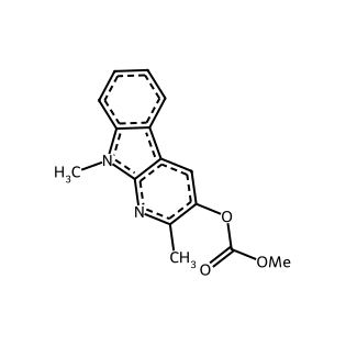 COC(=O)Oc1cc2c3ccccc3n(C)c2nc1C